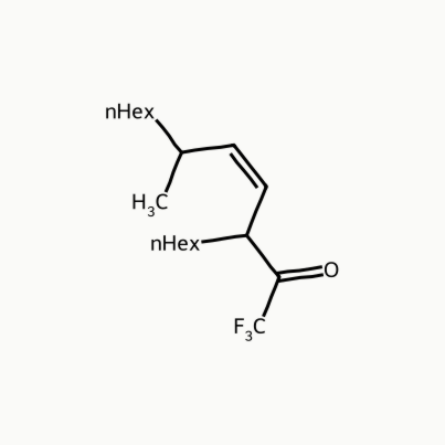 CCCCCCC(C)/C=C\C(CCCCCC)C(=O)C(F)(F)F